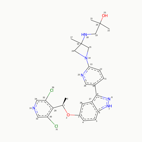 C[C@@H](Oc1ccc2[nH]nc(-c3ccc(N4CC(C)(NCC(C)(C)O)C4)nc3)c2c1)c1c(Cl)cncc1Cl